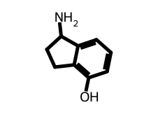 NC1CCc2c(O)cccc21